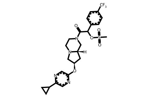 CS(=O)(=O)OC(C(=O)N1CCN2C[C@H](Oc3cnc(C4CC4)cn3)C[C@H]2C1)c1ccc(C(F)(F)F)cc1